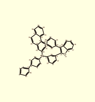 c1ccc(-c2ccc(N(c3cccc(-c4oc5ccccc5c4-c4ccccc4)c3)c3ccc4c(ccc5ccccc54)c3)cc2)cc1